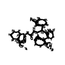 Cc1ccccc1-c1cccnc1C(CNC(=O)Cn1nc(C(F)(F)F)c2c1CCCC2)c1cccc(F)c1